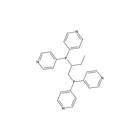 CCC(CP(c1ccncc1)c1ccncc1)P(c1ccncc1)c1ccncc1